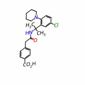 CC(C)(NC(=O)Cc1ccc(C(=O)O)cc1)c1cc(Cl)ccc1N1CCCCC1